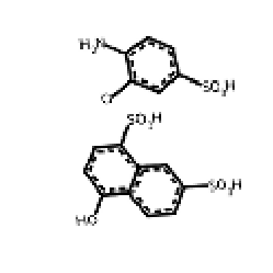 Nc1ccc(S(=O)(=O)O)cc1Cl.O=S(=O)(O)c1ccc2c(O)ccc(S(=O)(=O)O)c2c1